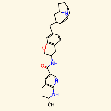 C[C@@H]1CCc2cc(C(=O)N[C@H]3COc4cc(CC5CC6CCC7CC5CN67)ccc4C3)cnc2N1